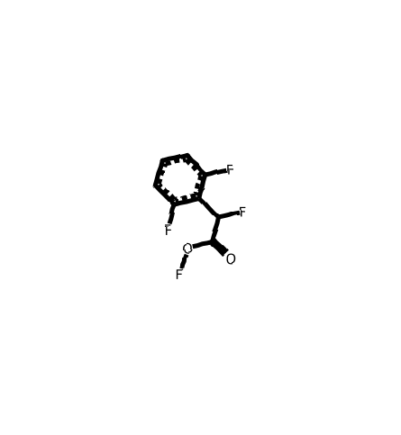 O=C(OF)C(F)c1c(F)cccc1F